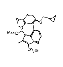 CCOC(=O)c1c(C)n(COC)c2c(-c3c(OCC4CC4)ccc4c3OCO4)ccnc12